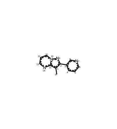 Cc1c(-c2cccnc2)nn2cccnc12